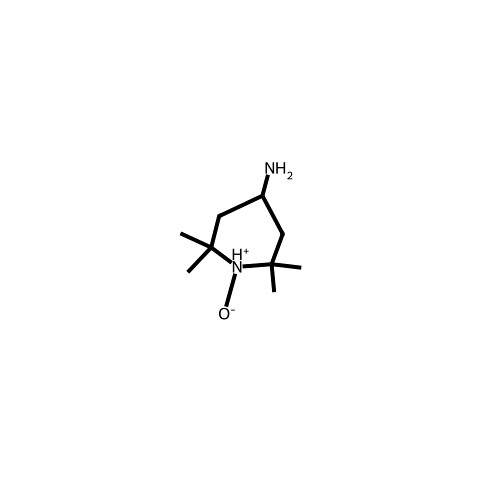 CC1(C)CC(N)CC(C)(C)[NH+]1[O-]